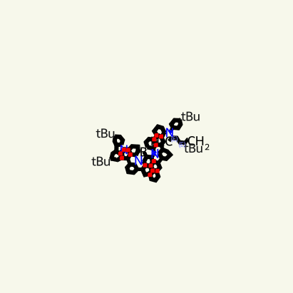 C=C/C(=C\C=C(/C)N(c1ccc(C(C)(C)C)cc1)c1cccc(-c2ccc3c(c2)N(c2c(-c4ccccc4)cccc2-c2ccccc2)c2cc(-c4ccccc4)cc4c2B3c2ccc(-n3c5ccc(C(C)(C)C)cc5c5cc(C(C)(C)C)ccc53)cc2N4c2c(-c3ccccc3)cccc2-c2ccccc2)c1)C(C)(C)C